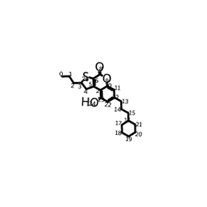 CCCC1Cc2c(c(=O)oc3cc(CCCC4CCCCC4)cc(O)c23)S1